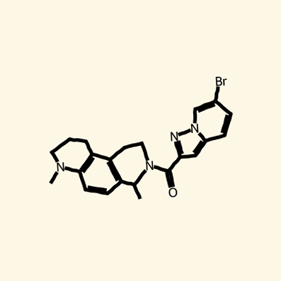 CC1c2ccc3c(c2CCN1C(=O)c1cc2ccc(Br)cn2n1)CCCN3C